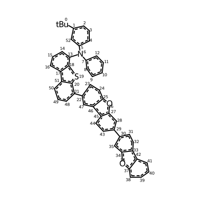 CC(C)(C)c1cccc(N(c2ccccc2)c2cccc3c2sc2c(-c4ccc5oc6cc(-c7ccc8c(c7)oc7ccccc78)ccc6c5c4)cccc23)c1